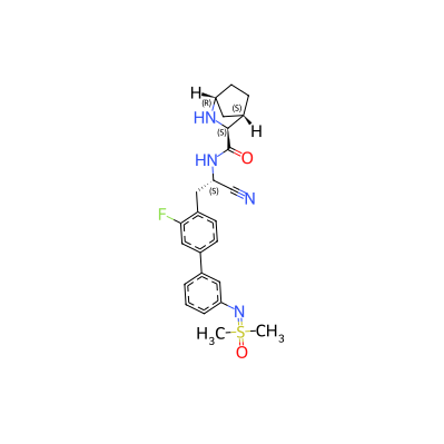 CS(C)(=O)=Nc1cccc(-c2ccc(C[C@@H](C#N)NC(=O)[C@H]3N[C@@H]4CC[C@H]3C4)c(F)c2)c1